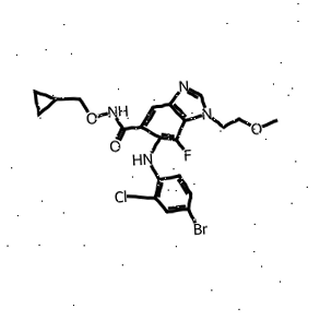 COCCn1cnc2cc(C(=O)NOCC3CC3)c(Nc3ccc(Br)cc3Cl)c(F)c21